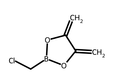 C=C1OB(CCl)OC1=C